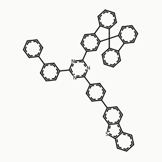 c1ccc(-c2cccc(-c3nc(-c4ccc(-c5ccc6c(c5)sc5ccccc56)cc4)nc(-c4ccc5c(c4)C4(c6ccccc6-c6ccccc64)c4ccccc4-5)n3)c2)cc1